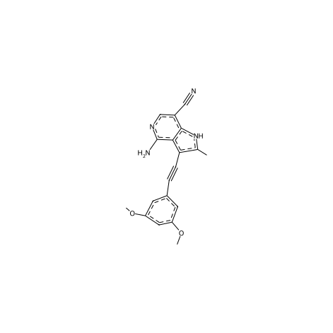 COc1cc(C#Cc2c(C)[nH]c3c(C#N)cnc(N)c23)cc(OC)c1